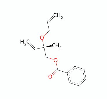 C=CCO[C@@](C)(C=C)COC(=O)c1ccccc1